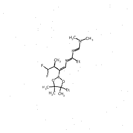 CCC(/N=C/N(C)C)=N\C=C(\B1OC(C)(C)C(C)(CC)O1)C(C)C(F)F